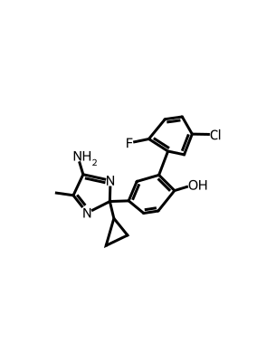 CC1=NC(c2ccc(O)c(-c3cc(Cl)ccc3F)c2)(C2CC2)N=C1N